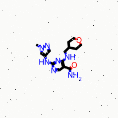 Cn1cc(Nc2ncc(C(N)=O)c(NCC3CCOCC3)n2)cn1